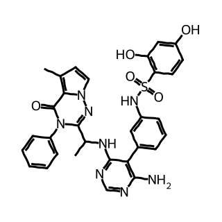 Cc1ccn2nc(C(C)Nc3ncnc(N)c3-c3cccc(NS(=O)(=O)c4ccc(O)cc4O)c3)n(-c3ccccc3)c(=O)c12